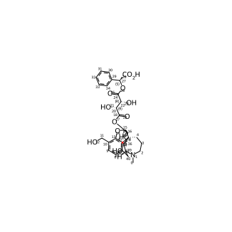 CN1CCC[C@]23c4c5ccc(CO)c4O[C@H]2C(OC(=O)[C@H](O)[C@@H](O)C(=O)O[C@H](C(=O)O)c2ccccc2)=CC[C@@]3(O)[C@H]1C5